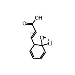 CC1(Cl)C=CC=CC1/C=C/C(=O)O